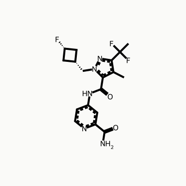 Cc1c(C(C)(F)F)nn(C[C@H]2C[C@@H](F)C2)c1C(=O)Nc1ccnc(C(N)=O)c1